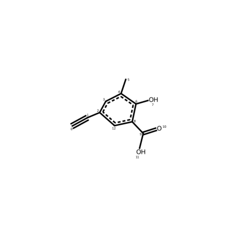 C#Cc1cc(C)c(O)c(C(=O)O)c1